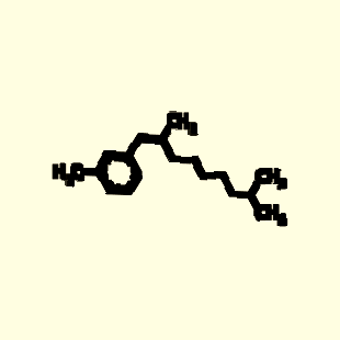 C/C(=C/c1cccc(C)c1)CCCCCC(C)C